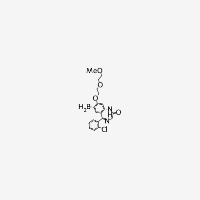 Bc1cc2c(cc1OCCOCCOC)NC(=O)CN=C2c1ccccc1Cl